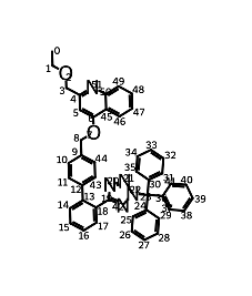 CCOCc1cc(OCc2ccc(-c3ccccc3-c3nnn(C(c4ccccc4)(c4ccccc4)c4ccccc4)n3)cc2)c2ccccc2n1